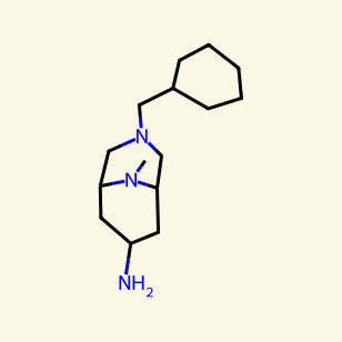 CN1C2CC(N)CC1CN(CC1CCCCC1)C2